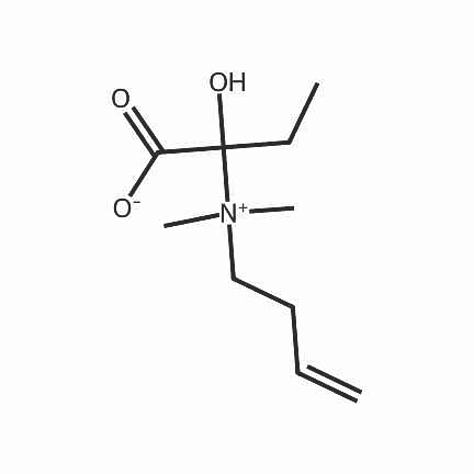 C=CCC[N+](C)(C)C(O)(CC)C(=O)[O-]